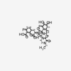 CCN1CCN(C(=O)N[C@@H](C(=O)N[C@H]2Cc3ccc(F)c(C(=O)O)c3OB2O)c2c(Cl)cc(O)c(O)c2F)C(=O)C1=O